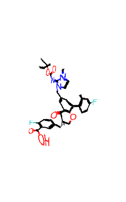 Cc1cc(F)ccc1-c1cc(Cn2ccn(C)c2=NC(=O)OC(C)(C)C)cc2c1OC[C@H](Cc1ccc(F)c(C(=O)O)c1)C2=O